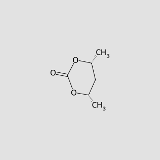 C[C@@H]1C[C@H](C)OC(=O)O1